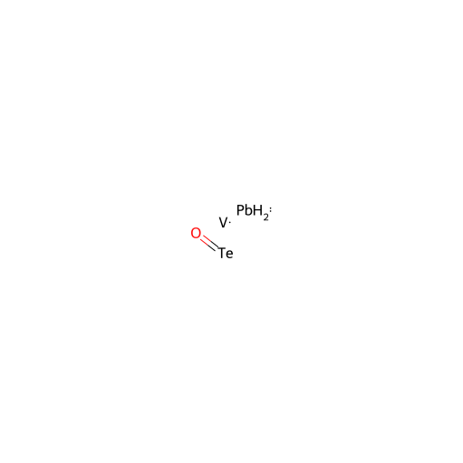 O=[Te].[PbH2].[V]